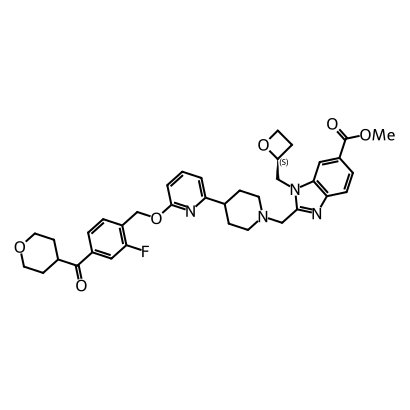 COC(=O)c1ccc2nc(CN3CCC(c4cccc(OCc5ccc(C(=O)C6CCOCC6)cc5F)n4)CC3)n(C[C@@H]3CCO3)c2c1